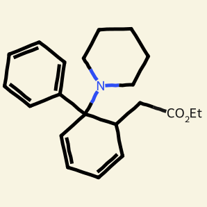 CCOC(=O)CC1C=CC=CC1(c1ccccc1)N1CCCCC1